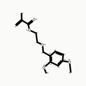 C=C(C)C(=O)OCCOCc1ccc(OC)cc1OC